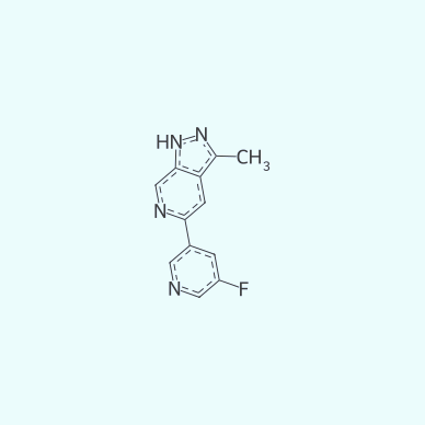 Cc1n[nH]c2cnc(-c3cncc(F)c3)cc12